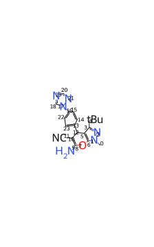 Cn1nc(C(C)(C)C)c2c1OC(N)=C(C#N)C2c1ccc(-n2cncn2)cc1